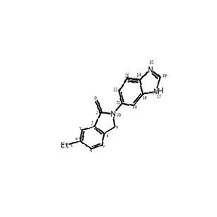 C=C1c2cc(CC)ccc2CN1c1ccc2nc[nH]c2c1